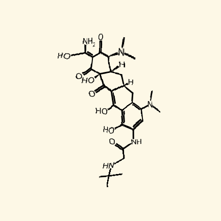 CN(C)c1cc(NC(=O)CNC(C)(C)C)c(O)c2c1C[C@H]1C[C@H]3[C@H](N(C)C)C(=O)C(=C(N)O)C(=O)[C@@]3(O)C(=O)C1=C2O